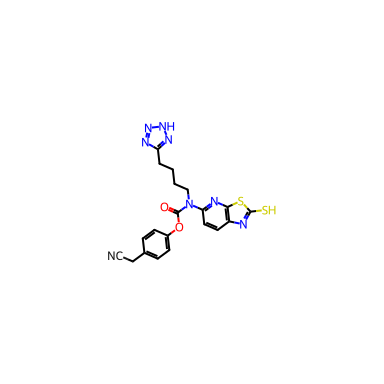 N#CCc1ccc(OC(=O)N(CCCCc2nn[nH]n2)c2ccc3nc(S)sc3n2)cc1